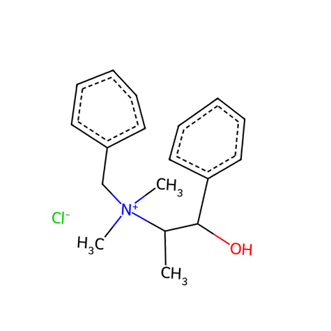 CC(C(O)c1ccccc1)[N+](C)(C)Cc1ccccc1.[Cl-]